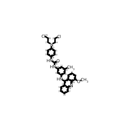 COc1cccc2c(Nc3cc(C)cc(NC(=O)Nc4ccc(N(CCCl)CCCl)cc4)c3)c3ccccc3nc12